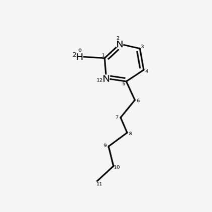 [2H]c1nccc(CCCCCC)n1